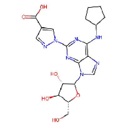 O=C(O)c1cnn(-c2nc(NC3CCCC3)c3ncn(C4O[C@H](CO)[C@@H](O)[C@@H]4O)c3n2)c1